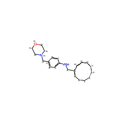 c1cc(NCC2CCCCCCCCC2)ccc1CN1CCOCC1